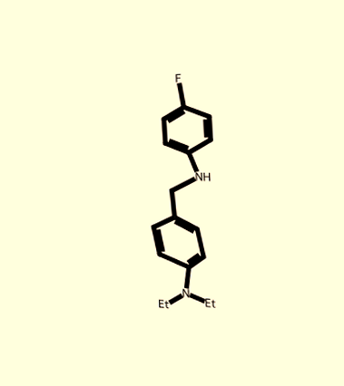 CCN(CC)c1ccc(CNc2ccc(F)cc2)cc1